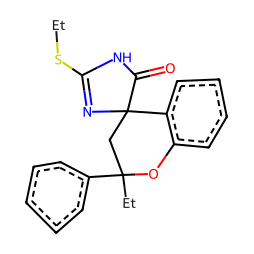 CCSC1=NC2(CC(CC)(c3ccccc3)Oc3ccccc32)C(=O)N1